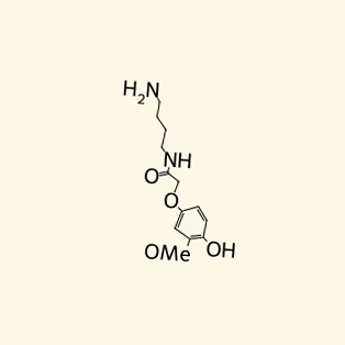 COc1cc(OCC(=O)NCCCCN)ccc1O